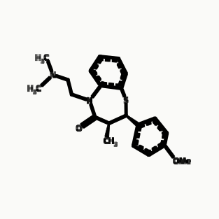 COc1ccc([C@@H]2Sc3ccccc3N(CCN(C)C)C(=O)[C@@H]2C)cc1